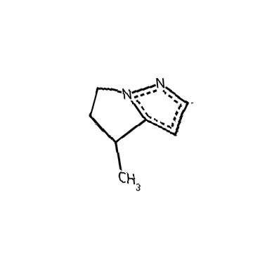 CC1CCn2n[c]cc21